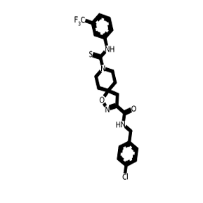 O=C(NCc1ccc(Cl)cc1)C1=NOC2(CCN(C(=S)Nc3cccc(C(F)(F)F)c3)CC2)C1